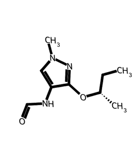 CC[C@H](C)Oc1nn(C)cc1NC=O